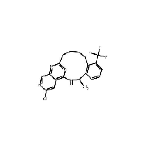 C[C@H]1Nc2nc(nc3cnc(Cl)cc23)CCCCc2c1cccc2C(F)(F)F